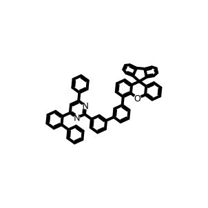 c1ccc(-c2cc(-c3ccccc3-c3ccccc3)nc(-c3cccc(-c4cccc(-c5cccc6c5Oc5ccccc5C65c6ccccc6-c6ccccc65)c4)c3)n2)cc1